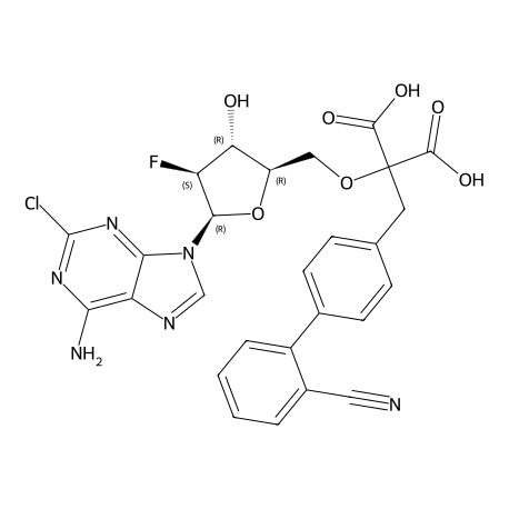 N#Cc1ccccc1-c1ccc(CC(OC[C@H]2O[C@@H](n3cnc4c(N)nc(Cl)nc43)[C@@H](F)[C@@H]2O)(C(=O)O)C(=O)O)cc1